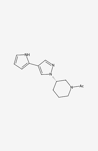 CC(=O)N1CCC[C@H](n2cc(-c3ccc[nH]3)cn2)C1